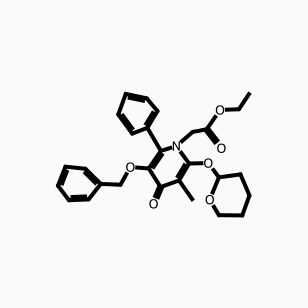 CCOC(=O)Cn1c(OC2CCCCO2)c(C)c(=O)c(OCc2ccccc2)c1-c1ccccc1